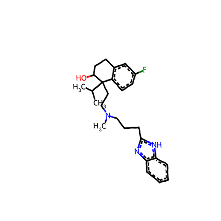 CC(C)C1(CCN(C)CCCc2nc3ccccc3[nH]2)c2ccc(F)cc2CCC1O